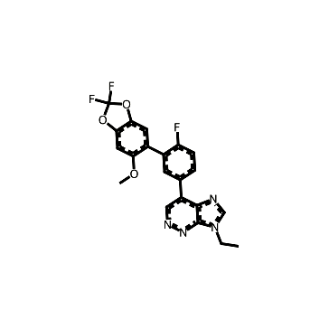 CCn1cnc2c(-c3ccc(F)c(-c4cc5c(cc4OC)OC(F)(F)O5)c3)cnnc21